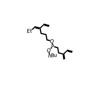 C=CC(=C)CCP(OCCCC)OCCC/C(C=C)=C\CC